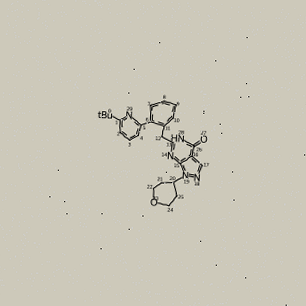 CC(C)(C)c1cccc(-c2ccccc2Cc2nc3c(cnn3C3CCOCC3)c(=O)[nH]2)n1